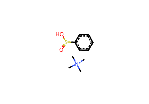 C[N+](C)(C)C.O=S(O)c1ccccc1